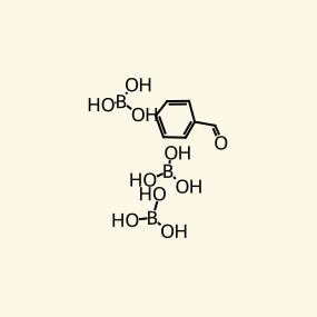 O=Cc1ccccc1.OB(O)O.OB(O)O.OB(O)O